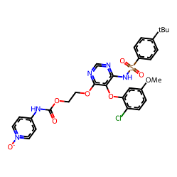 COc1ccc(Cl)c(Oc2c(NS(=O)(=O)c3ccc(C(C)(C)C)cc3)ncnc2OCCOC(=O)Nc2cc[n+]([O-])cc2)c1